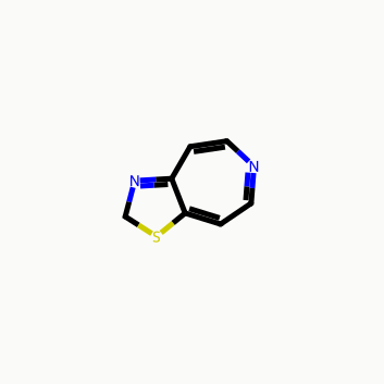 C1=CC2=NCSC2=CC=N1